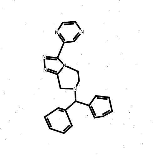 c1ccc(C(c2ccccc2)N2CCn3c(nnc3-c3cnccn3)C2)cc1